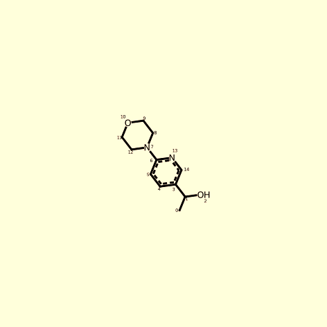 CC(O)c1ccc(N2CCOCC2)nc1